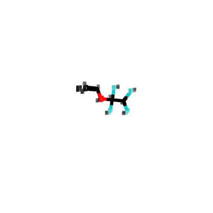 C=COC(F)(F)C(F)F